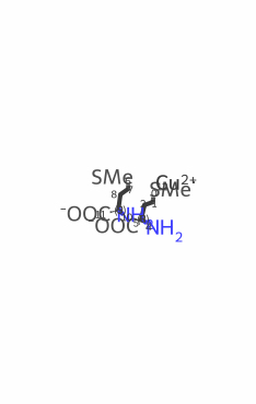 CSCC[C@@H](N)C(=O)[O-].CSCC[C@H](N)C(=O)[O-].[Cu+2]